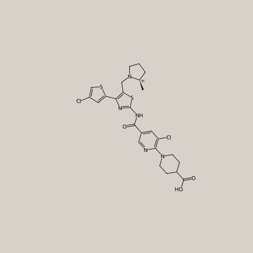 C[C@@H]1CCCN1Cc1sc(NC(=O)c2cnc(N3CCC(C(=O)O)CC3)c(Cl)c2)nc1-c1cc(Cl)cs1